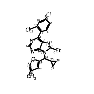 CCc1nc2c(-c3ccc(Cl)cc3Cl)ncnc2n1C(c1cc(C)no1)C1CC1